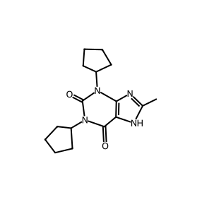 Cc1nc2c([nH]1)c(=O)n(C1CCCC1)c(=O)n2C1CCCC1